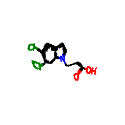 O=C(O)CCn1ccc2cc(Cl)c(Cl)cc21